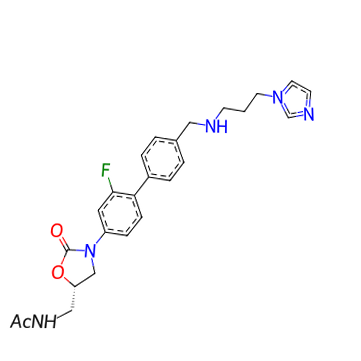 CC(=O)NC[C@H]1CN(c2ccc(-c3ccc(CNCCCn4ccnc4)cc3)c(F)c2)C(=O)O1